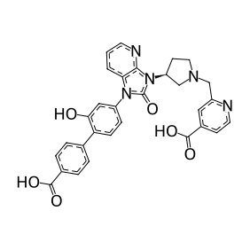 O=C(O)c1ccc(-c2ccc(-n3c(=O)n([C@H]4CCN(Cc5cc(C(=O)O)ccn5)C4)c4ncccc43)cc2O)cc1